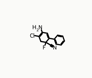 N#CC1(F)CC(Cl)=C(N)C=C1c1ccccc1